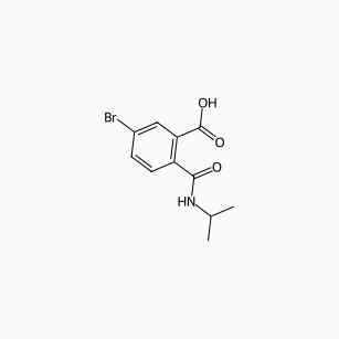 CC(C)NC(=O)c1ccc(Br)cc1C(=O)O